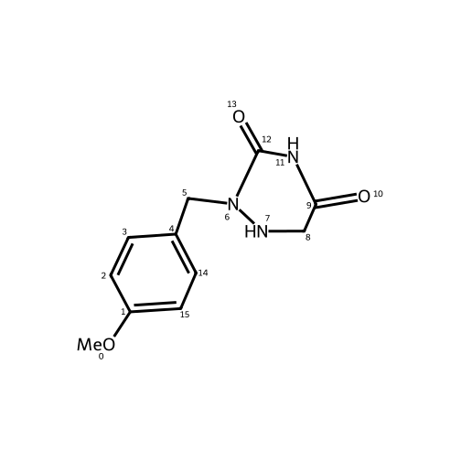 COc1ccc(CN2NCC(=O)NC2=O)cc1